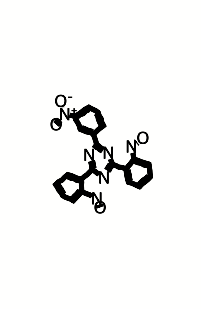 O=Nc1ccccc1-c1nc(-c2cccc([N+](=O)[O-])c2)nc(-c2ccccc2N=O)n1